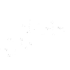 Cn1ncc(-c2nc([C@@H]3C(F)(F)C34CCN(S(N)(=O)=O)CC4)no2)c1C(F)(F)F